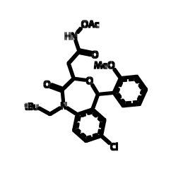 COc1ccccc1C1OC(CC(=O)NOC(C)=O)C(=O)N(CC(C)(C)C)c2ccc(Cl)cc21